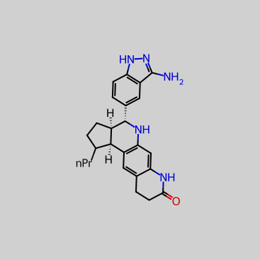 CCCC1CC[C@H]2[C@H](c3ccc4[nH]nc(N)c4c3)Nc3cc4c(cc3[C@@H]12)CCC(=O)N4